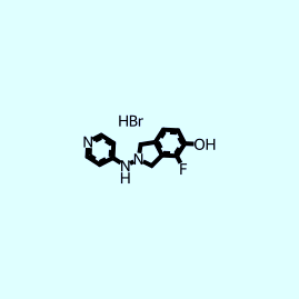 Br.Oc1ccc2c(c1F)CN(Nc1ccncc1)C2